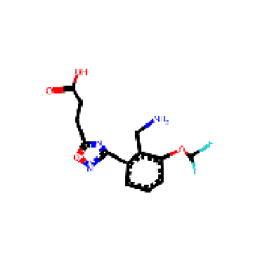 NCc1c(OC(F)F)cccc1-c1noc(CCC(=O)O)n1